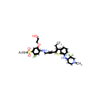 CC(=O)NS(=O)(=O)c1cc(OCCO)c(NCC#Cc2sc3c(NC4CCN(C)CC4(F)F)cccc3c2CC(F)(F)F)cc1F